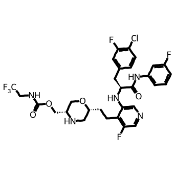 O=C(NCC(F)(F)F)OC[C@@H]1CO[C@H](CCc2c(F)cncc2N[C@@H](Cc2ccc(Cl)c(F)c2)C(=O)Nc2cccc(F)c2)CN1